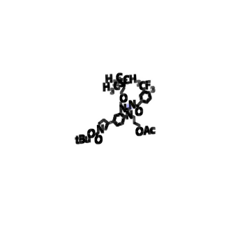 CC(=O)OCCCn1/c(=N\C(=O)c2cccc(C(F)(F)F)c2)n(COCC[Si](C)(C)C)c2cc(C3=CN(C(=O)OC(C)(C)C)CC3)ccc21